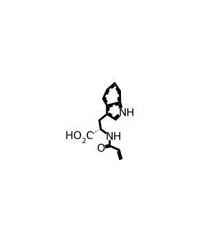 C=CC(=O)N[C@@H](Cc1c[nH]c2ccccc12)C(=O)O